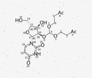 CC(=O)CCOC(OCCC(C)=O)O[C@@H]1[C@H](O)[C@@H](CO)O[C@H]1n1ccc(=O)[nH]c1=O